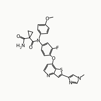 COc1ccc(N(C(=O)C2(C(N)=O)CC2)c2ccc(Oc3ccnc4cc(-c5cn(C)cn5)sc34)c(F)c2)cc1